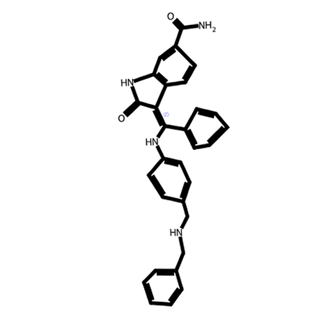 NC(=O)c1ccc2c(c1)NC(=O)/C2=C(\Nc1ccc(CNCc2ccccc2)cc1)c1ccccc1